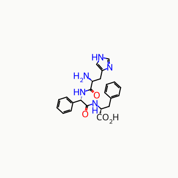 N[C@@H](Cc1c[nH]cn1)C(=O)N[C@H](C(=O)N[C@@H](Cc1ccccc1)C(=O)O)c1ccccc1